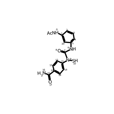 CC(=O)Nc1cccc(NC(=O)N(S)c2ccc(C(N)=O)cc2)c1